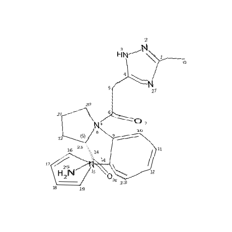 Cc1n[nH]c(CC(=O)[N+]2(c3ccccc3-n3cccc3)CCC[C@H]2C(N)=O)n1